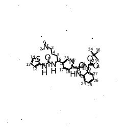 CN(C)CCCC(NC(=O)Nc1cccs1)c1ccc(C(=O)Nc2ccccc2NC(=O)OC(C)(C)C)nc1